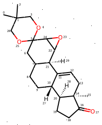 CC1(C)COC2(CC3CC[C@@H]4C(=CC[C@@]5(C)C(=O)CC[C@@H]45)[C@@H]3C3OC32)OC1